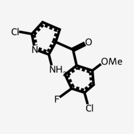 COc1cc(Cl)c(F)cc1C(=O)c1ccc(Cl)nc1N